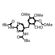 COCOc1c(C=O)c(Cc2cnc(NC(=O)C(C)(C)C)nc2NC(=O)C(C)(C)C)cc(OC)c1OC